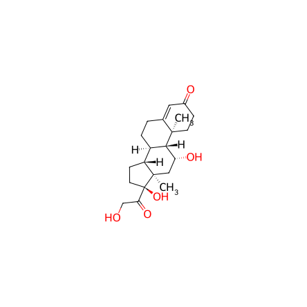 C[C@@]12CCC(=O)C=C1CC[C@H]1[C@H]2[C@H](O)C[C@]2(C)[C@@H]1CC[C@@]2(O)C(=O)CO